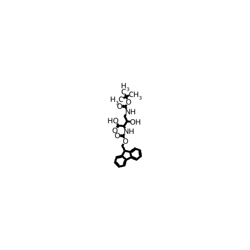 CC(C)(C)OC(=O)NCC(O)C(NC(=O)OCC1c2ccccc2-c2ccccc21)C(=O)O